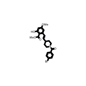 COC(=O)c1c(O)cc(OC)cc1/C=C/C1CCN(C(=O)c2ccc(Br)cc2)CC1